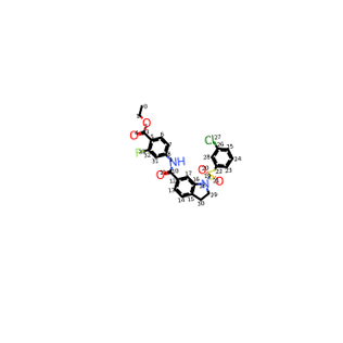 CCOC(=O)c1ccc(NC(=O)c2ccc3c(c2)N(S(=O)(=O)c2cccc(Cl)c2)CC3)cc1F